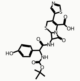 CC(C)(C)OC(=O)NC(C(=O)NC1C(=O)N2C(C(=O)O)=C(c3cncs3)CSC12)c1ccc(O)cc1